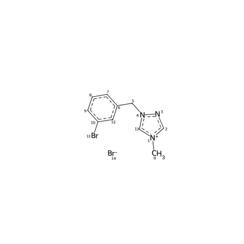 C[n+]1cnn(Cc2cccc(Br)c2)c1.[Br-]